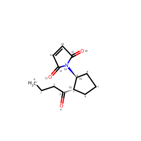 CCCC(=O)[C@H]1CCC[C@@H]1N1C(=O)C=CC1=O